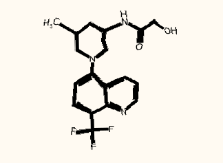 CC1CC(NC(=O)CO)CN(c2ccc(C(F)(F)F)c3ncccc23)C1